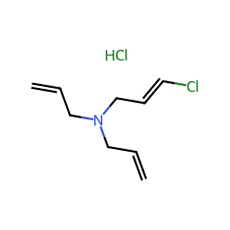 C=CCN(CC=C)CC=CCl.Cl